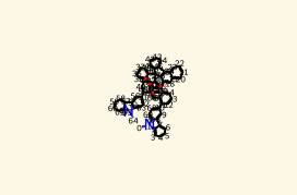 Cn1c2ccccc2c2cc(-c3cccc4c(-c5cc6ccccc6c6c5C5(c7ccccc7-c7ccccc75)c5ccccc5-6)c5cccc(-c6ccc7c(c6)c6ccccc6n7C)c5cc34)ccc21